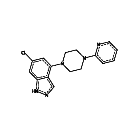 Clc1cc(N2CCN(c3ccccn3)CC2)c2cn[nH]c2c1